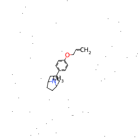 C=CCOc1ccc(C2=CC3CCC(C2)N3C)cc1